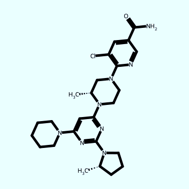 C[C@@H]1CN(c2ncc(C(N)=O)cc2Cl)CCN1c1cc(N2CCCCC2)nc(N2CCC[C@@H]2C)n1